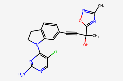 Cc1noc(C(C)(O)C#Cc2ccc3c(c2)N(c2nc(N)ncc2Cl)CC3)n1